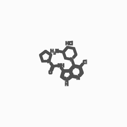 Cl.NC1CCCN(c2c(Cl)cnc3[nH]cc(NC(=O)N4CCCC4)c23)C1